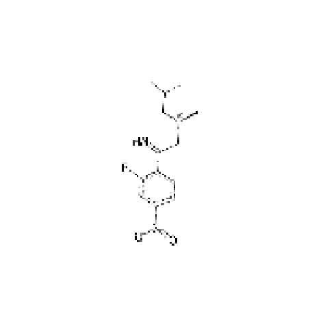 C[C](C)C[C@@H](C)CC(=N)c1ccc([N+](=O)[O-])cc1F